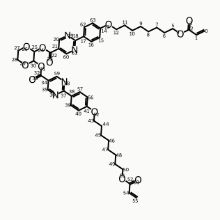 C=CC(=O)OCCCCCCCCOc1ccc(-c2ncc(C(=O)OC3OCCOC3OC(=O)c3cnc(-c4ccc(OCCCCCCCCOC(=O)C=C)cc4)nc3)cn2)cc1